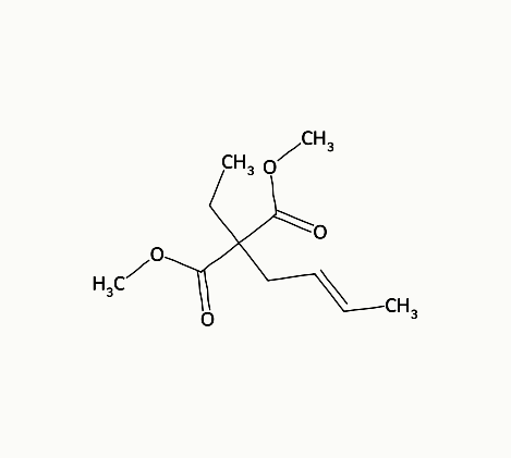 CC=CCC(CC)(C(=O)OC)C(=O)OC